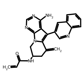 C=CC(=O)N[C@@H]1CC(=C)c2c(-c3cnc4ccccc4c3)c3c(N)ncnc3n2C1